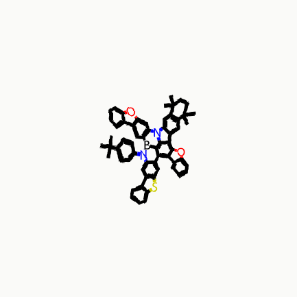 CC(C)(C)c1ccc(N2B3c4cc5c(cc4-n4c6cc7c(cc6c6c8oc9ccccc9c8c(c3c64)-c3cc4sc6ccccc6c4cc32)C(C)(C)CCC7(C)C)oc2ccccc25)cc1